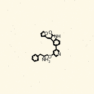 N[C@@H](COc1cncc(-c2ccc3c(c2)C(=Cc2ccco2)C(=O)N3)c1)Cc1ccccc1